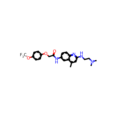 Cc1cc(NCCN(C)C)nc2ccc(NC(=O)COc3ccc(OC(F)(F)F)cc3)cc12